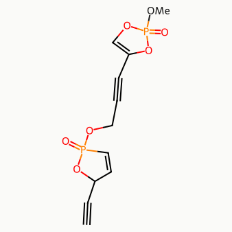 C#CC1C=CP(=O)(OCC#CC2=COP(=O)(OC)O2)O1